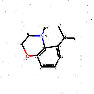 CC(C)c1cccc2c1N(C)CCO2